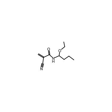 C=C(C#N)C(=O)NC(CCC)OCC